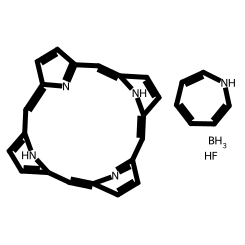 B.C1=CC=CNC=C1.C1=Cc2cc3ccc(cc4nc(cc5ccc(cc1n2)[nH]5)C=C4)[nH]3.F